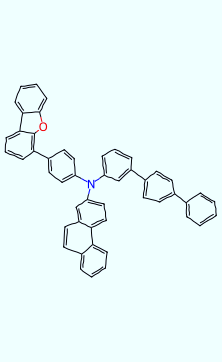 c1ccc(-c2ccc(-c3cccc(N(c4ccc(-c5cccc6c5oc5ccccc56)cc4)c4ccc5c(ccc6ccccc65)c4)c3)cc2)cc1